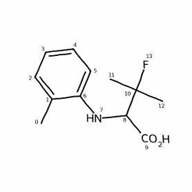 Cc1ccccc1NC(C(=O)O)C(C)(C)F